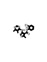 CCc1ccccc1NC(=O)c1c(C)nsc1Nc1ncnc(C)c1C